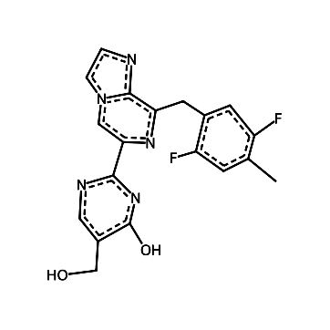 Cc1cc(F)c(Cc2nc(-c3ncc(CO)c(O)n3)cn3ccnc23)cc1F